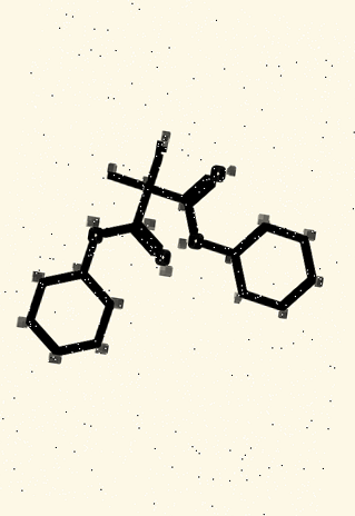 CC(F)(C(=O)OC1CCCCC1)C(=O)OC1CCCCC1